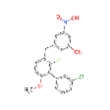 COc1ccc(Cc2cc(O)cc([N+](=O)O)c2)c(F)c1-c1cccc(Cl)c1